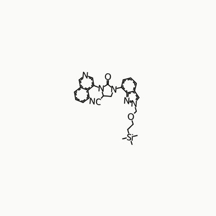 C[Si](C)(C)CCOCn1cc2cccc(N3CC(C#N)N(c4cncc5ccccc45)C3=O)c2n1